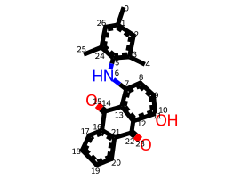 Cc1cc(C)c(Nc2ccc(O)c3c2C(=O)c2ccccc2C3=O)c(C)c1